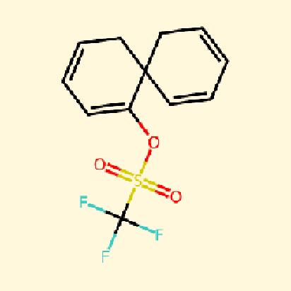 O=S(=O)(OC1=CC=CCC12C=CC=CC2)C(F)(F)F